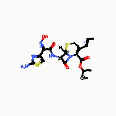 C/C=C/C1=C(C(=O)OC(C)OC(C)=O)N2C(=O)[C@@H](NC(=O)/C(=N\O)c3csc(N)n3)[C@@H]2SC1